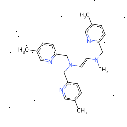 Cc1ccc(CN(C)C=CN(Cc2ccc(C)cn2)Cc2ccc(C)cn2)nc1